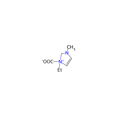 CC[N+]1(C(=O)[O-])C=CN(C)C1